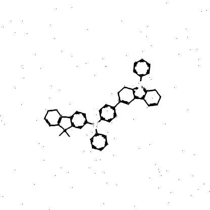 CC1(C)C2=C(CCC=C2)c2ccc(N(c3ccccc3)c3ccc(C4=Cc5c6c(n(-c7ccccc7)c5CC4)CCC=C6)cc3)cc21